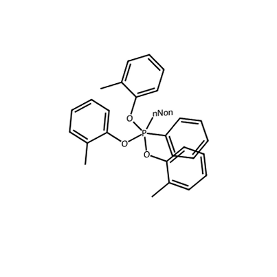 CCCCCCCCCP(Oc1ccccc1C)(Oc1ccccc1C)(Oc1ccccc1C)c1ccccc1